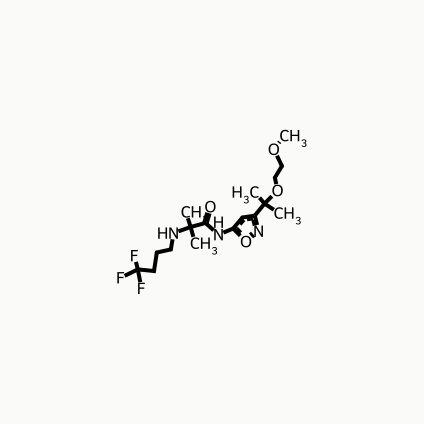 COCCOC(C)(C)c1cc(NC(=O)C(C)(C)NCCCC(F)(F)F)on1